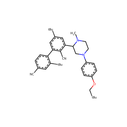 CN1CCN(c2ccc(OCC(C)(C)C)cc2)CC1c1cc(C(C)(C)C)cc(-c2ccc(C#N)cc2C(C)(C)C)c1C#N